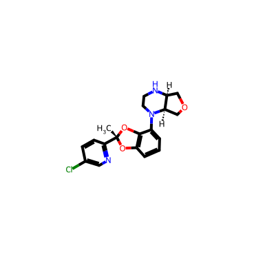 C[C@]1(c2ccc(Cl)cn2)Oc2cccc(N3CCN[C@H]4COC[C@H]43)c2O1